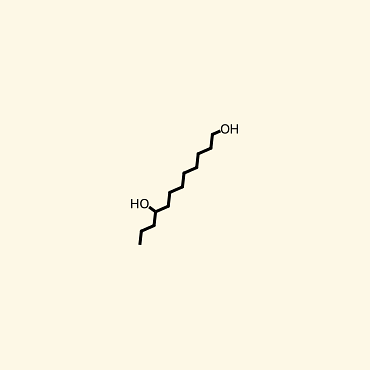 CCCC(O)CCCCCCCCO